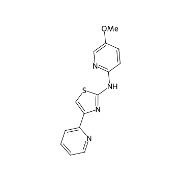 COc1ccc(Nc2nc(-c3ccccn3)cs2)nc1